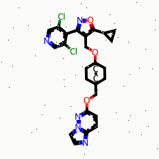 Clc1cncc(Cl)c1-c1noc(C2CC2)c1COC12CCC(COc3ccc4nccn4n3)(CC1)CC2